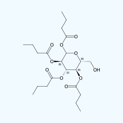 CCCC(=O)OC1O[C@H](CO)[C@@H](OC(=O)CCC)[C@H](OC(=O)CCC)[C@H]1OC(=O)CCC